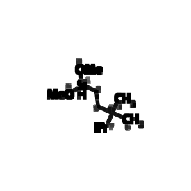 CO[SiH](CCC(C)(C)C(C)C)OC